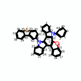 c1ccc(-n2c3ccccc3c3c2c2oc4ccccc4c2c2c4ccccc4n(-c4ccc5sc6ccccc6c5c4)c23)cc1